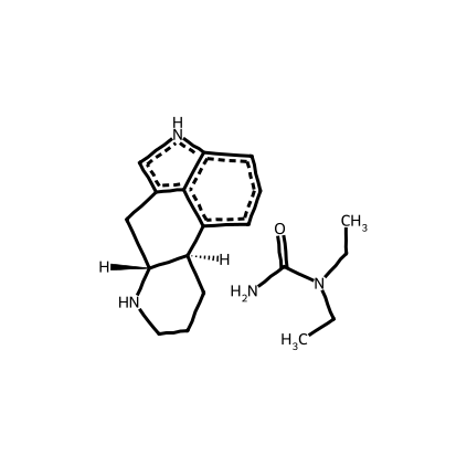 CCN(CC)C(N)=O.c1cc2c3c(c[nH]c3c1)C[C@H]1NCCC[C@H]21